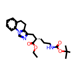 CCOC(=O)[C@@H](CCCNC(=O)OC(C)(C)C)Cc1ncn2c1CCc1ccccc1-2